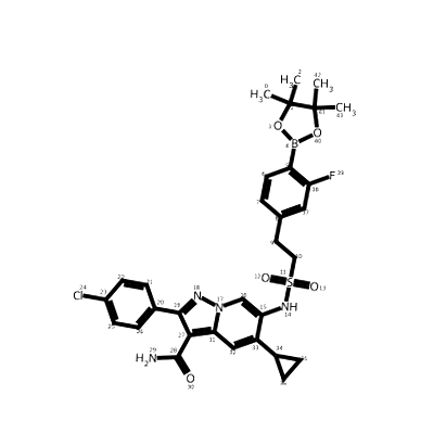 CC1(C)OB(c2ccc(CCS(=O)(=O)Nc3cn4nc(-c5ccc(Cl)cc5)c(C(N)=O)c4cc3C3CC3)cc2F)OC1(C)C